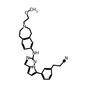 COCCN1CCc2ccc(Nc3ncc4ccc(-c5cccc(CCC#N)c5)n4n3)cc2CC1